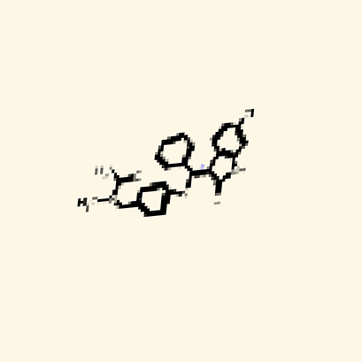 CN(Cc1ccc(N/C(=C2\C(=O)Nc3cc(Cl)ccc32)c2ccccc2)cc1)C(N)=O